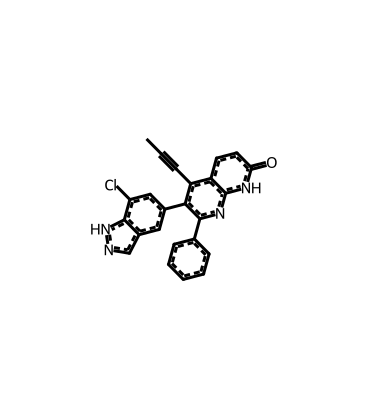 CC#Cc1c(-c2cc(Cl)c3[nH]ncc3c2)c(-c2ccccc2)nc2[nH]c(=O)ccc12